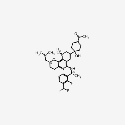 CC(=O)N1CCC(O)(C2=Cc3c(N[C@H](C)c4cccc(C(F)F)c4F)nc4c(c3N(C)C2)O[C@H](CN(C)C)CC4)CC1